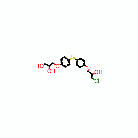 OCC(O)COc1ccc(Sc2ccc(OCC(O)CCl)cc2)cc1